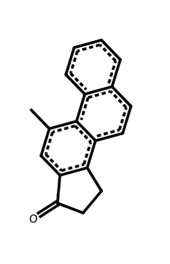 Cc1cc2c(c3ccc4ccccc4c13)CCC2=O